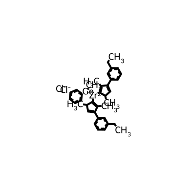 CCc1cccc(C2=CC(C)[C]([Zr+2]([C]3=C(C)C(c4cccc(CC)c4)=CC3C)=[Ge]([CH3])[c]3ccccc3)=C2C)c1.[Cl-].[Cl-]